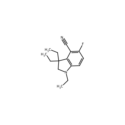 CCN1CC(CC)(CC)c2c1ccc(F)c2C#N